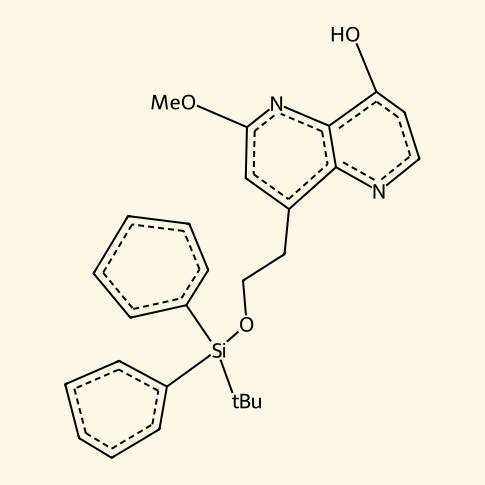 COc1cc(CCO[Si](c2ccccc2)(c2ccccc2)C(C)(C)C)c2nccc(O)c2n1